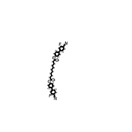 N#CC1=C(F)C=C(c2ccc(OC(=O)CCCCCCCCCC(=O)Oc3ccc(-c4ccc(C#N)c(F)c4)cc3)cc2)CC1